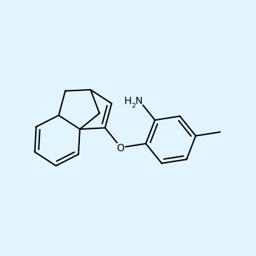 Cc1ccc(OC2=CC3CC4C=CC=CC24C3)c(N)c1